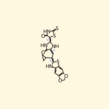 O=C1NC(=S)S/C1=c1/[nH]c(=O)/c(=C\C(=C2\Nc3cc4c(cc3S2)OCO4)C2CC2)[nH]1